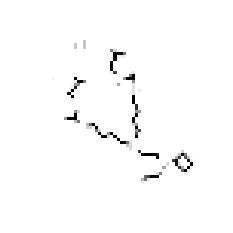 CCCCCCCCC(CCCCCC)COC(=O)NCCCCN(CCCCNC(=O)OCC(CCCCCC)CCCCCCCC)CCN(CCO)C1CCC1